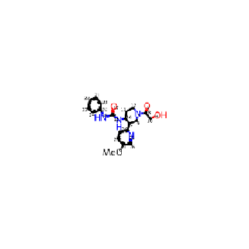 COc1ccc(C2CN(C(=O)CO)CCC2NC(=O)Nc2ccccc2)nc1